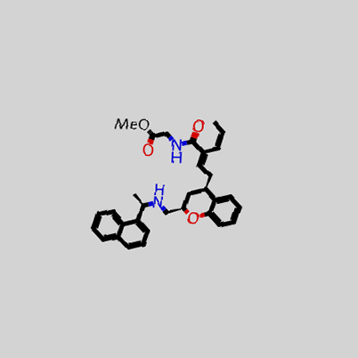 C/C=C\C(=C/C[C@@H]1C[C@H](CN[C@H](C)c2cccc3ccccc23)Oc2ccccc21)C(=O)NCC(=O)OC